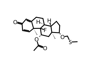 CSCO[C@H]1CC[C@H]2[C@@H]3CCC4=CC(=O)C=C[C@]4(C)C3(F)[C@@H](OC(C)=O)C[C@]12C